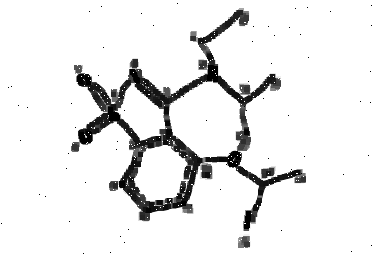 CCN(C1=NS(=O)(=O)c2cccc(OC(C)F)c21)C(C)C